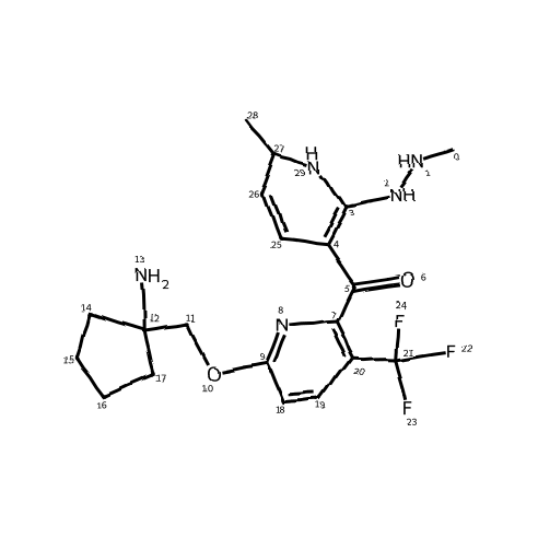 CNNC1=C(C(=O)c2nc(OCC3(N)CCCC3)ccc2C(F)(F)F)C=CC(C)N1